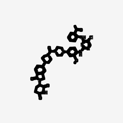 COc1cc(N2CCN(C(=O)N3CCC(c4ccc5c(c4)CN(C4CCC(=O)NC4=O)C5=O)CC3)CC2)ccc1Nc1ncc(Cl)c(Nc2ccccc2C(C)=O)n1